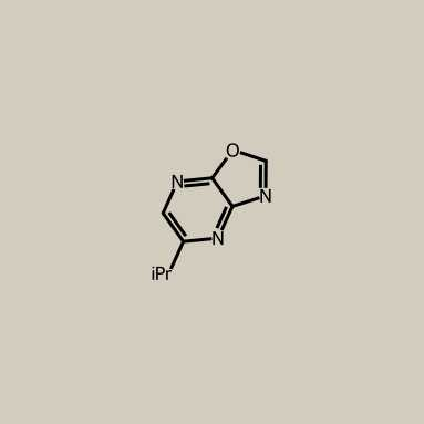 CC(C)c1cnc2ocnc2n1